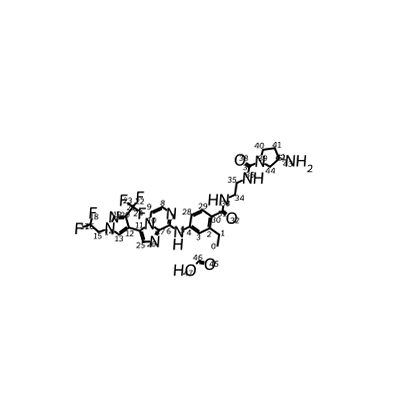 CCc1cc(Nc2nccn3c(-c4cn(CC(F)F)nc4C(F)(F)F)cnc23)ccc1C(=O)NCCNC(=O)N1CC[C@H](N)C1.O=CO